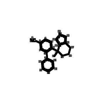 CC1(c2ccc(C#N)cc2-c2ccccc2)CCCc2cncn21